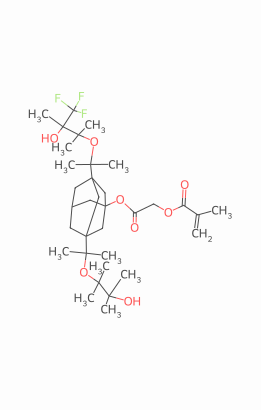 C=C(C)C(=O)OCC(=O)OC12CC3CC(C(C)(C)OC(C)(C)C(C)(C)O)(C1)CC(C(C)(C)OC(C)(C)C(C)(O)C(F)(F)F)(C3)C2